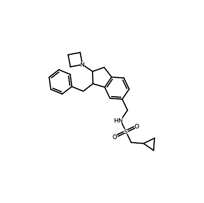 O=S(=O)(CC1CC1)NCc1ccc2c(c1)C(Cc1ccccc1)C(N1CCC1)C2